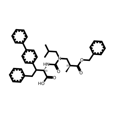 CC(C)CN(C[C@H](C)C(=O)OCc1ccccc1)C(=O)N[C@H](C(=O)O)C(Cc1ccccc1)c1ccc(-c2ccccc2)cc1